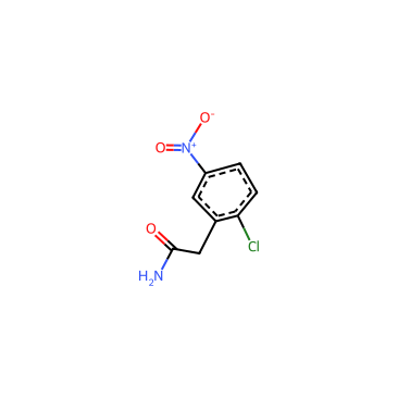 NC(=O)Cc1cc([N+](=O)[O-])ccc1Cl